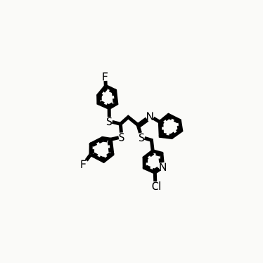 Fc1ccc(SC(CC(=Nc2ccccc2)SCc2ccc(Cl)nc2)Sc2ccc(F)cc2)cc1